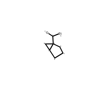 CCC([O])C12CCCC1C2